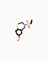 C=CS(=O)(=O)N1CCSc2ccc(OC)cc2C1